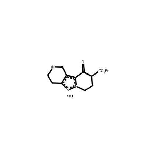 CCOC(=O)C1CCn2nc3c(c2C1=O)CNCC3.Cl